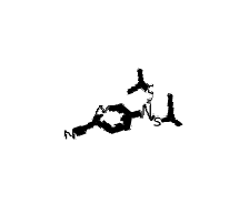 CC(C)SN(SC(C)C)c1ccc(C#N)nc1